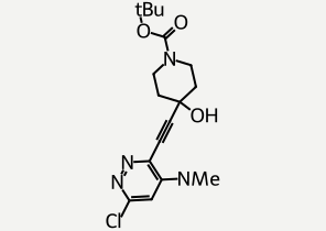 CNc1cc(Cl)nnc1C#CC1(O)CCN(C(=O)OC(C)(C)C)CC1